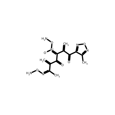 C=C(C(=O)/C(C(=C)C(=O)c1nonc1C)=[N+](\[O-])ON)/C(C)=N\ON